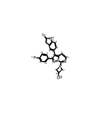 O=C1Cc2cc(-c3c(-c4ccc(F)cc4)nn4c(N5CC(O)C5)nccc34)ccc2N1